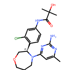 Cc1cc(N2CCCOC[C@H]2c2ccc(NC(=O)C(C)(C)O)cc2Cl)nc(N)n1